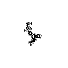 O=C(Nc1ccc(-c2nc(N3C4COCC3C(F)C4)c3cnn(CC(F)(F)F)c3n2)cc1)OCCO